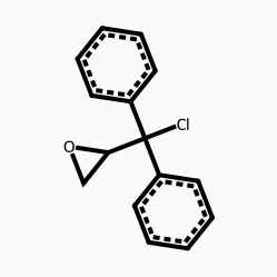 ClC(c1ccccc1)(c1ccccc1)C1CO1